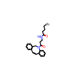 CC(C)CCCC(=O)NCCC(=O)N1Cc2ccccc2/C=C\c2ccccc21